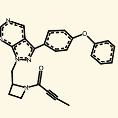 CC#CC(=O)N1CCC1Cn1nc(-c2ccc(Oc3ccccc3)cc2)c2cncnc21